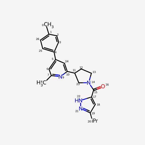 Cc1ccc(-c2cc(C)nc(C3CCN(C(=O)c4cc(C(C)C)n[nH]4)C3)c2)cc1